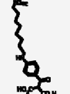 CCCCCCCCCCCCCCCCCCNc1ccc(C(=O)C(C(=O)O)C(=O)O)cc1